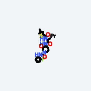 Cc1csc(C(=O)NC(CC(C)C)C(=O)N[C@H]2CCCN(C(=O)Nc3ccccc3F)CC2=O)c1